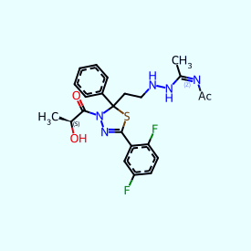 CC(=O)/N=C(/C)NNCCC1(c2ccccc2)SC(c2cc(F)ccc2F)=NN1C(=O)[C@H](C)O